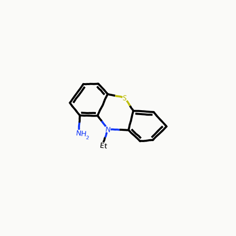 CCN1c2ccccc2Sc2cccc(N)c21